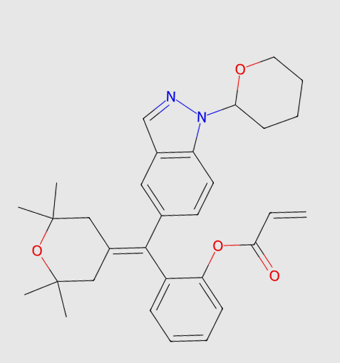 C=CC(=O)Oc1ccccc1C(=C1CC(C)(C)OC(C)(C)C1)c1ccc2c(cnn2C2CCCCO2)c1